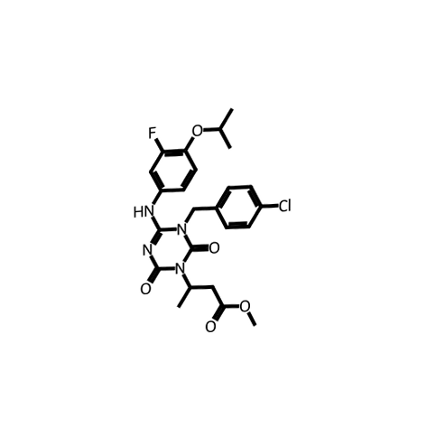 COC(=O)CC(C)n1c(=O)nc(Nc2ccc(OC(C)C)c(F)c2)n(Cc2ccc(Cl)cc2)c1=O